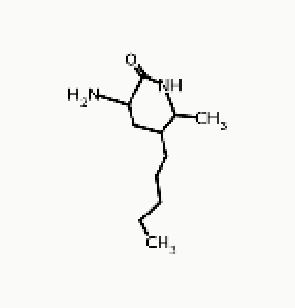 CCCCCC1CC(N)C(=O)NC1C